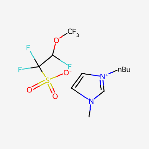 CCCC[n+]1ccn(C)c1.O=S(=O)([O-])C(F)(F)C(F)OC(F)(F)F